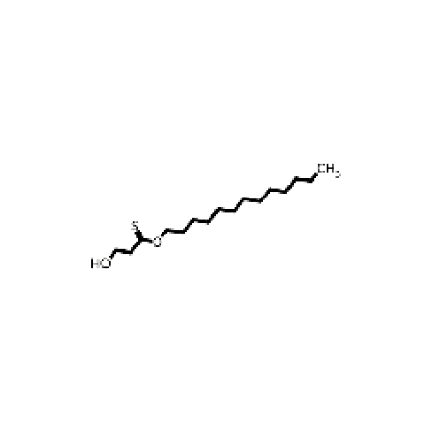 CCCCCCCCCCCCCOC(=S)CCO